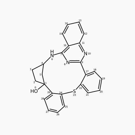 OC12CCC(C1)Nc1nc(nc3ccccc13)-c1ccccc1Sc1ccccc12